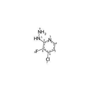 NNc1nccc(Cl)c1F